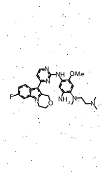 COc1cc(N(C)CCN(C)C)c(N)cc1Nc1nccc(-c2c3n(c4cc(F)ccc24)CCOC3)n1